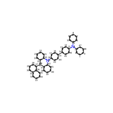 c1ccc(N(c2ccccc2)c2ccc(-c3ccc(N4c5ccccc5B(c5cccc6ccccc56)c5ccccc54)cc3)cc2)cc1